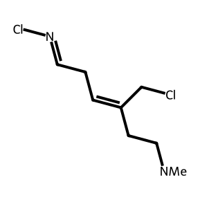 CNCC/C(=C/C/C=N/Cl)CCl